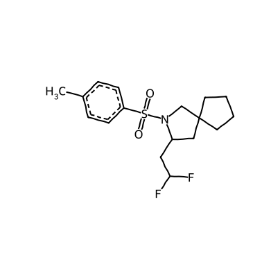 Cc1ccc(S(=O)(=O)N2CC3(CCCC3)CC2CC(F)F)cc1